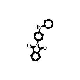 O=C1c2ccccc2C(=O)N1c1ccc(Nc2ccccc2)cc1